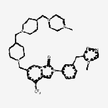 CN1CCN(CC2CCN(CC3CCN(Cc4cc(C(F)(F)F)c5cn(-c6cccc(Cc7nncn7C)c6)c(=O)n5c4)CC3)CC2)CC1